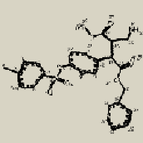 Cc1ccc(S(=O)(=O)Oc2ccc(C(C(=O)OCc3ccccc3)C(CN)C(=O)OC(C)C)cc2)cc1